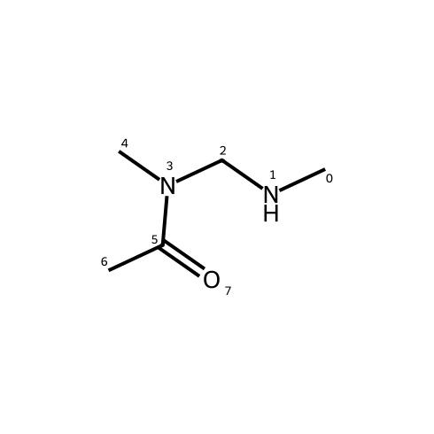 CNCN(C)C(C)=O